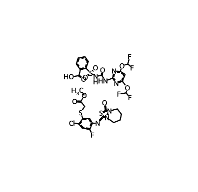 COC(=O)CSc1cc(/N=c2\sc(=O)n3n2CCCC3)c(F)cc1Cl.O=C(Nc1nc(OC(F)F)cc(OC(F)F)n1)NS(=O)(=O)c1ccccc1C(=O)O